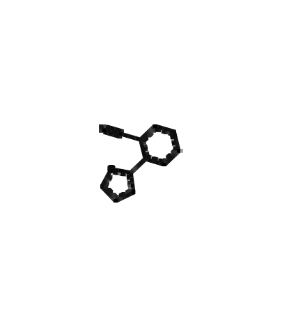 N#Cc1cc[c]cc1-c1ccco1